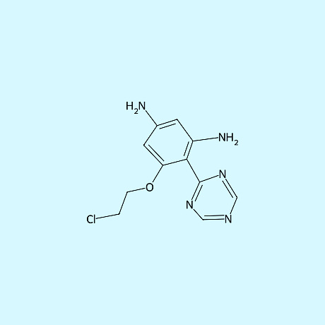 Nc1cc(N)c(-c2ncncn2)c(OCCCl)c1